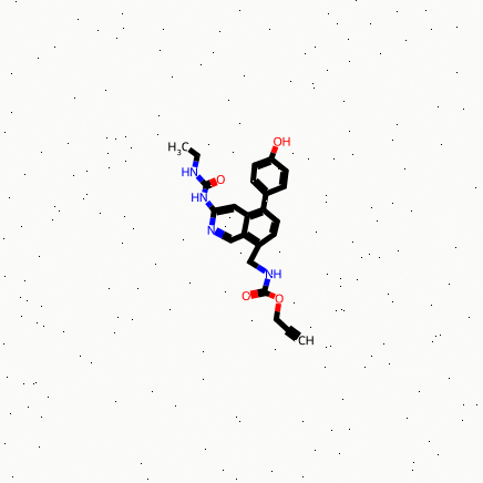 C#CCOC(=O)NCc1ccc(-c2ccc(O)cc2)c2cc(NC(=O)NCC)ncc12